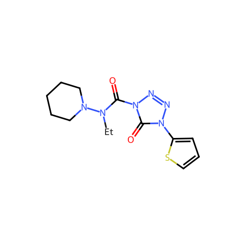 CCN(C(=O)n1nnn(-c2cccs2)c1=O)N1CCCCC1